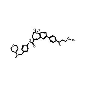 CCCOCCN(C)c1ccc(-c2ccc3c(c2)C=C(C(=O)Nc2ccc(CN(C)C4CCOCC4)cc2)CCS3(=O)=O)cc1